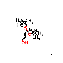 C[Si](C)(C)CO[Si](C)(CCCO)O[Si](C)(C)C